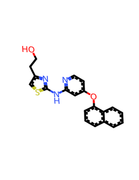 OCCc1csc(Nc2cc(Oc3cccc4ccccc34)ccn2)n1